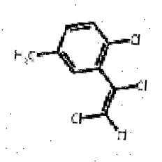 Cc1ccc(Cl)c(C(Cl)=C(Cl)Cl)c1